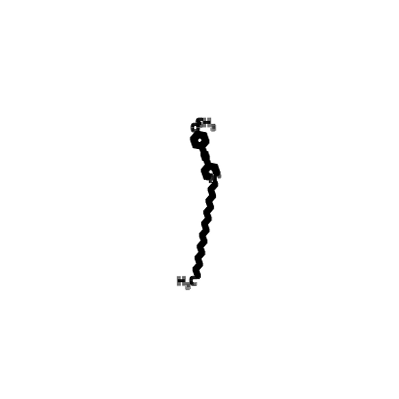 CCCCCCCCCCCCCCCCCC[n+]1ccc(C#Cc2ccc(OC)cc2)cc1